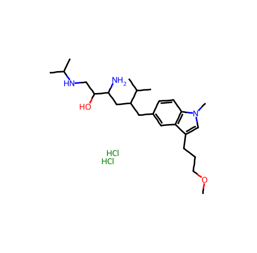 COCCCc1cn(C)c2ccc(CC(CC(N)C(O)CNC(C)C)C(C)C)cc12.Cl.Cl